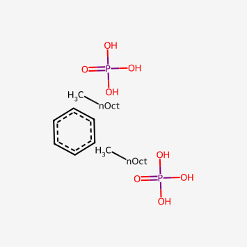 CCCCCCCCC.CCCCCCCCC.O=P(O)(O)O.O=P(O)(O)O.c1ccccc1